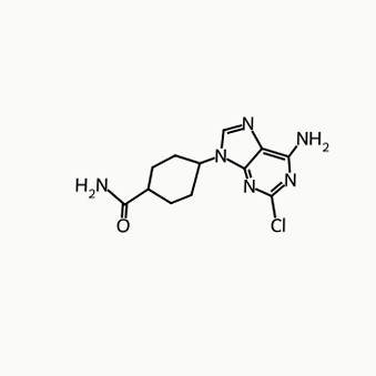 NC(=O)C1CCC(n2cnc3c(N)nc(Cl)nc32)CC1